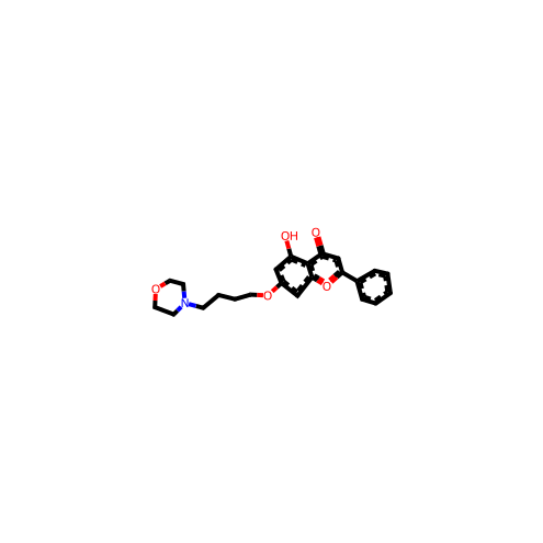 O=c1cc(-c2ccccc2)oc2cc(OCCCCN3CCOCC3)cc(O)c12